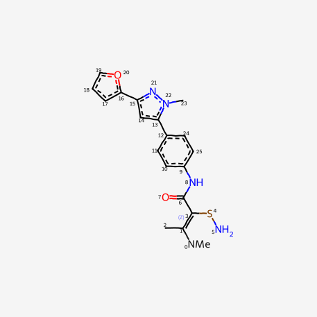 CN/C(C)=C(\SN)C(=O)Nc1ccc(-c2cc(-c3ccco3)nn2C)cc1